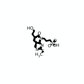 CSc1ncc2cc(CCO)c(=O)n(CCCS(=O)(=O)O)c2n1